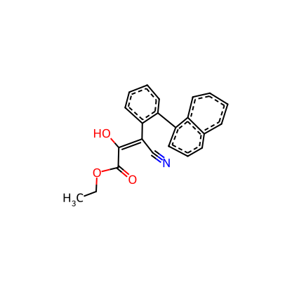 CCOC(=O)C(O)=C(C#N)c1ccccc1-c1cccc2ccccc12